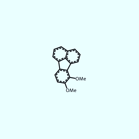 COc1ccc2c(c1OC)-c1cccc3cccc-2c13